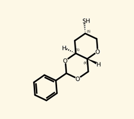 S[C@@H]1CO[C@@H]2COC(c3ccccc3)O[C@H]2C1